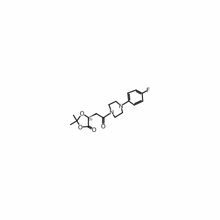 CC1(C)OC(=O)[C@H](CC(=O)N2CCN(c3ccc(F)cc3)CC2)O1